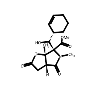 COC(=O)[C@]1(C(O)[C@@H]2C=CCCC2)N(C)C(=O)[C@@H]2CC(=O)O[C@@]21C